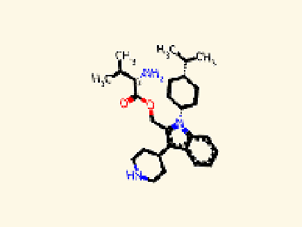 CC(C)[C@H](N)C(=O)OCc1c(C2CCNCC2)c2ccccc2n1[C@H]1CC[C@@H](C(C)C)CC1